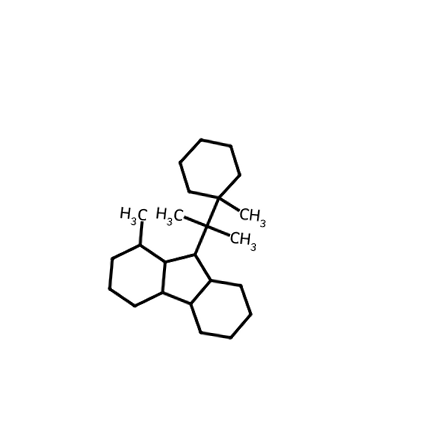 CC1CCCC2C3CCCCC3C(C(C)(C)C3(C)CCCCC3)C12